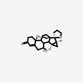 CC[C@]12CCC3C(C(C)CC4=CC(=O)CC[C@@H]43)C1[C@@H]1C[C@@H]1[C@@]21CCCO1